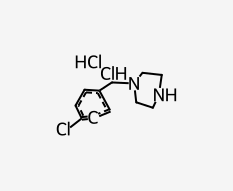 Cl.Cl.Clc1ccc(CN2CCNCC2)cc1